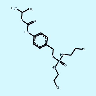 CC(C)OC(=O)Nc1ccc(COP(=O)(NCCCl)NCCCl)cc1